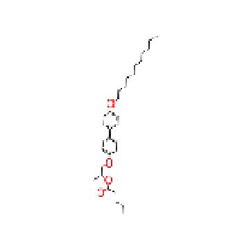 CCCCCCCCCCCOc1ccc(-c2ccc(OCC(C)OC(=O)CCCC)cc2)cc1